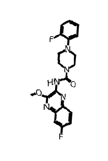 COc1nc2cc(F)ccc2nc1NC(=O)N1CCN(c2ccccc2F)CC1